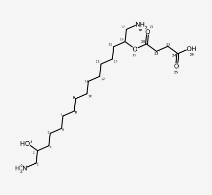 NCC(O)CCCCCCCCCCCCC(CN)OC(=O)CCC(=O)O